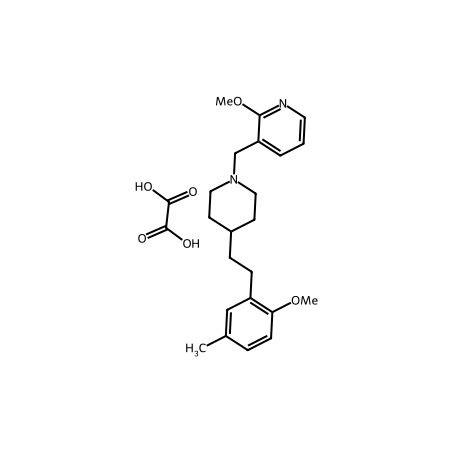 COc1ccc(C)cc1CCC1CCN(Cc2cccnc2OC)CC1.O=C(O)C(=O)O